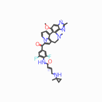 COc1cc2c(nc(C)n2C)c2c1-c1cccn3c(C(=O)c4cc(F)c(NC(=O)/C=C/CNC5(C)CC5)c(F)c4)cc(c13)CCN2C